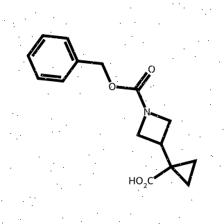 O=C(OCc1ccccc1)N1CC(C2(C(=O)O)CC2)C1